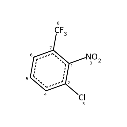 O=[N+]([O-])c1c(Cl)cccc1C(F)(F)F